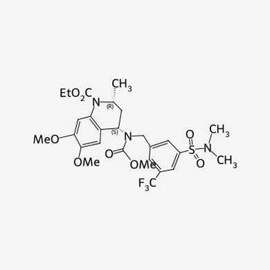 CCOC(=O)N1c2cc(OC)c(OC)cc2[C@@H](N(Cc2cc(C(F)(F)F)cc(S(=O)(=O)N(C)C)c2)C(=O)OC)C[C@H]1C